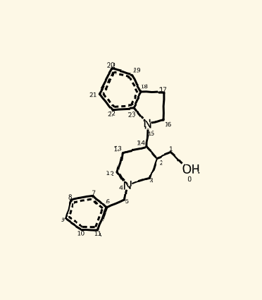 OCC1CN(Cc2ccccc2)CCC1N1CCc2ccccc21